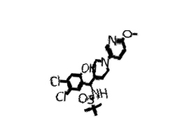 COc1ccc(N2CCC([C@@H](N[S+]([O-])C(C)(C)C)c3cc(Cl)c(Cl)cc3O)CC2)cn1